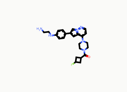 NCCNc1ccc(-c2cc3c(N4CCN(C(=O)C5CC(F)C5)CC4)ccnn3c2)cc1